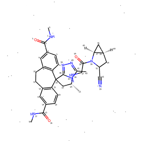 CNC(=O)c1ccc2c(c1)CCc1cc(C(=O)NC)ccc1C2(C[C@@H](C)NCC(=O)N1C(C#N)C[C@@H]2C[C@@H]21)c1nnc(C)[nH]1